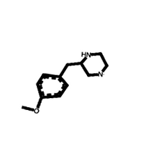 COc1ccc(CC2C[N]CCN2)cc1